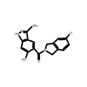 CCCCc1n[nH]c2cc(O)c(C(=O)N3Cc4ccc(Cl)cc4C3)cc12